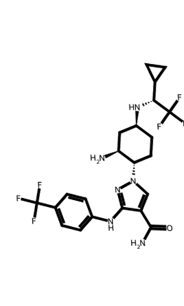 NC(=O)c1cn([C@H]2CC[C@H](N[C@H](C3CC3)C(F)(F)F)C[C@@H]2N)nc1Nc1ccc(C(F)(F)F)cc1